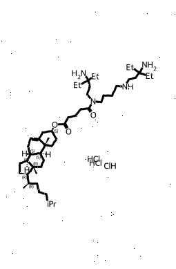 CCC(N)(CC)CCNCCCCN(CCC(N)(CC)CC)C(=O)CCCC(=O)O[C@H]1CC[C@@]2(C)C(=CC[C@H]3[C@@H]4CC[C@H]([C@H](C)CCCC(C)C)[C@@]4(C)CC[C@@H]32)C1.Cl.Cl.Cl